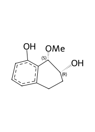 CO[C@H]1c2c(O)cccc2CC[C@H]1O